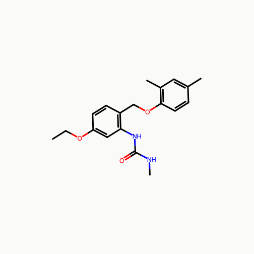 CCOc1ccc(COc2ccc(C)cc2C)c(NC(=O)NC)c1